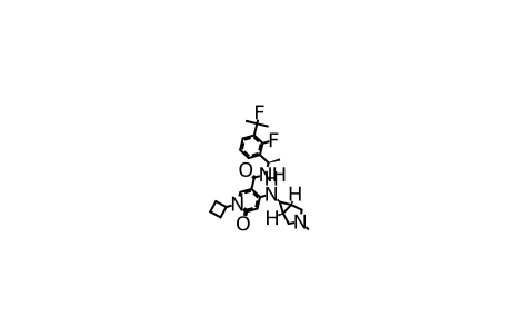 C[C@@H](NC(=O)c1cn(C2CCC2)c(=O)cc1N[C@H]1[C@@H]2CN(C)C[C@@H]21)c1cccc(C(C)(C)F)c1F